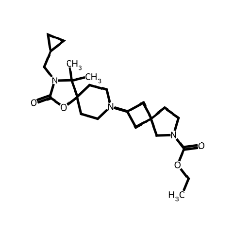 CCOC(=O)N1CCC2(CC(N3CCC4(CC3)OC(=O)N(CC3CC3)C4(C)C)C2)C1